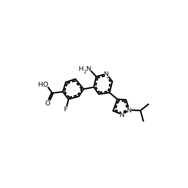 CC(C)n1cc(-c2cnc(N)c(-c3ccc(C(=O)O)c(F)c3)c2)cn1